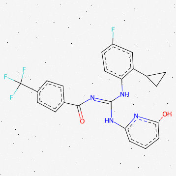 O=C(/N=C(\Nc1cccc(O)n1)Nc1ccc(F)cc1C1CC1)c1ccc(C(F)(F)F)cc1